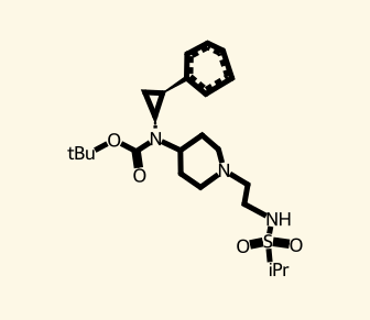 CC(C)S(=O)(=O)NCCN1CCC(N(C(=O)OC(C)(C)C)[C@@H]2C[C@H]2c2ccccc2)CC1